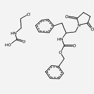 O=C(NC(Cc1ccccc1)CN1C(=O)CCC1=O)OCc1ccccc1.O=C(O)NCCCl